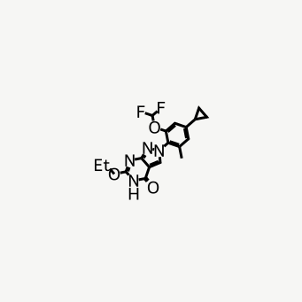 CCOc1nc2nn(-c3c(C)cc(C4CC4)cc3OC(F)F)cc2c(=O)[nH]1